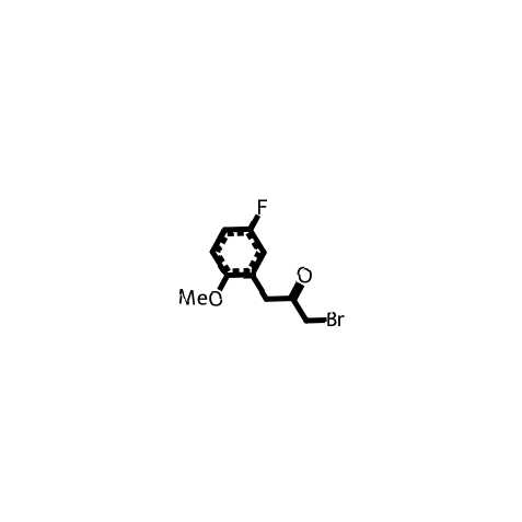 COc1ccc(F)cc1CC(=O)CBr